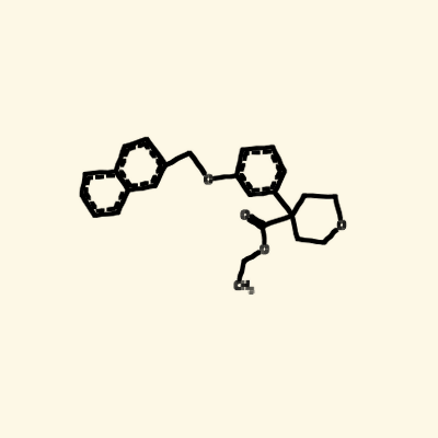 CCOC(=O)C1(c2cccc(OCc3ccc4ccccc4c3)c2)CCOCC1